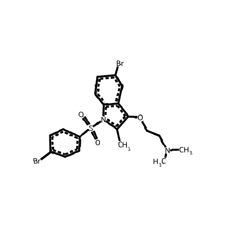 Cc1c(OCCN(C)C)c2cc(Br)ccc2n1S(=O)(=O)c1ccc(Br)cc1